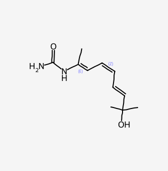 C/C(=C\C=C/C=CC(C)(C)O)NC(N)=O